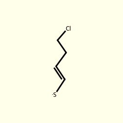 [S]C=CCCCl